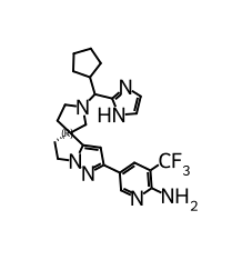 Nc1ncc(-c2cc3n(n2)CC[C@@]32CCN(C(c3ncc[nH]3)C3CCCC3)C2)cc1C(F)(F)F